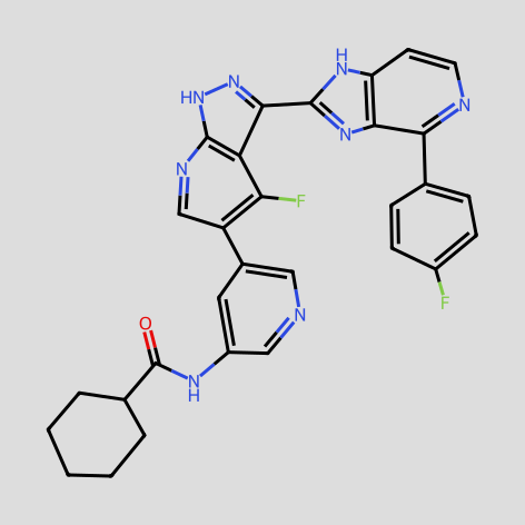 O=C(Nc1cncc(-c2cnc3[nH]nc(-c4nc5c(-c6ccc(F)cc6)nccc5[nH]4)c3c2F)c1)C1CCCCC1